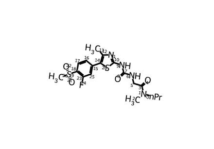 CCCN(C)C(=O)CNC(=O)Nc1nc(C)c(-c2ccc(S(C)(=O)=O)c(F)c2)s1